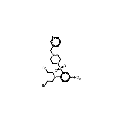 O=[N+]([O-])c1ccc(N(CCBr)CCBr)c(S(=O)(=O)N2CCN(Cc3cccnc3)CC2)c1